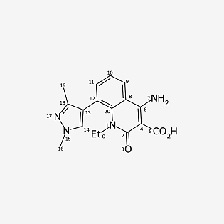 CCn1c(=O)c(C(=O)O)c(N)c2cccc(-c3cn(C)nc3C)c21